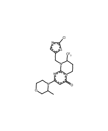 CC1COCCN1c1cc(=O)n2c(n1)N(Cc1cnc(Cl)s1)C(C(F)(F)F)CC2